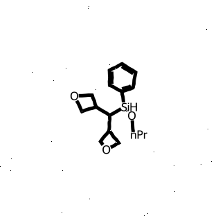 CCCO[SiH](c1ccccc1)C(C1COC1)C1COC1